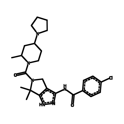 CC1CC(N2CCCC2)CCN1C(=O)N1Cc2c(NC(=O)c3ccc(Cl)cc3)n[nH]c2C1(C)C